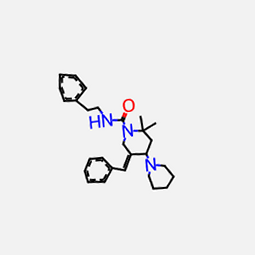 CC1(C)CC(N2CCCCC2)/C(=C/c2ccccc2)CN1C(=O)NCCc1ccccc1